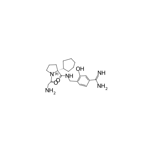 N=C(N)c1ccc(CNC(=O)[C@]2(C3CCCCC3)CCCN2C(=O)CN)c(O)c1